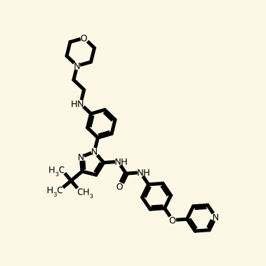 CC(C)(C)c1cc(NC(=O)Nc2ccc(Oc3ccncc3)cc2)n(-c2cccc(NCCN3CCOCC3)c2)n1